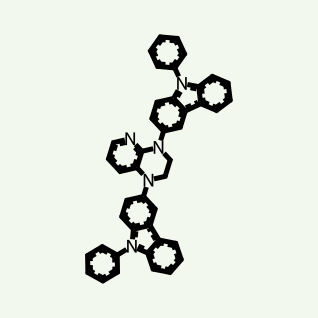 c1ccc(-n2c3ccccc3c3cc(N4CCN(c5ccc6c(c5)c5ccccc5n6-c5ccccc5)c5ncccc54)ccc32)cc1